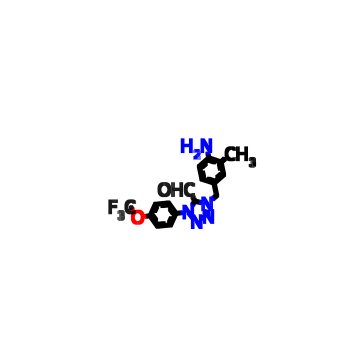 Cc1cc(CN2N=NN(c3ccc(OC(F)(F)F)cc3)C2C=O)ccc1N